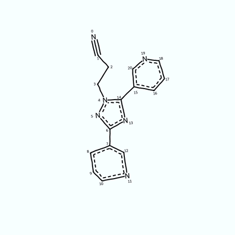 N#CCCn1nc(-c2cccnc2)nc1-c1cccnc1